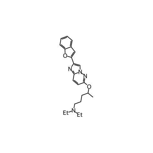 CCN(CC)CCCC(C)Oc1ccc2nc(-c3cc4ccccc4o3)cn2n1